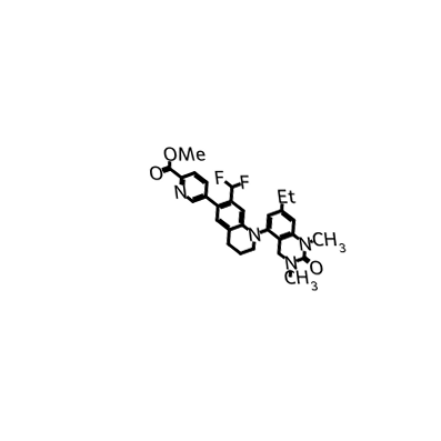 CCc1cc2c(c(N3CCCc4cc(-c5ccc(C(=O)OC)nc5)c(C(F)F)cc43)c1)CN(C)C(=O)N2C